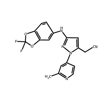 Cc1cc(-n2nc(Nc3ccc4c(c3)OC(F)(F)O4)cc2CC#N)ccn1